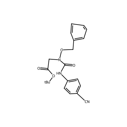 CC(C)(C)OC(=O)CN(OCc1ccccc1)C(=O)Nc1ccc(C#N)cc1